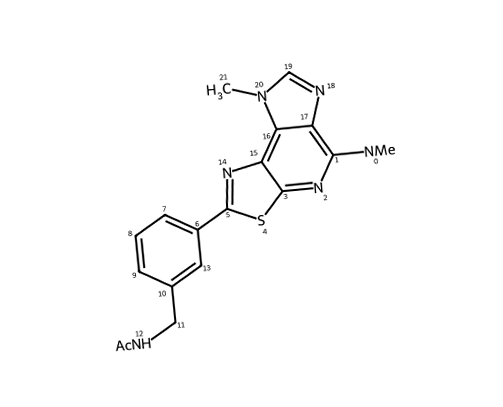 CNc1nc2sc(-c3cccc(CNC(C)=O)c3)nc2c2c1ncn2C